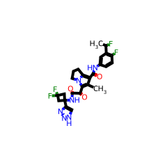 Cc1c(C(=O)Nc2ccc(F)c(C(C)F)c2)c2n(c1C(=O)C(=O)NC1(c3c[nH]nn3)CC(F)(F)C1)CCC2